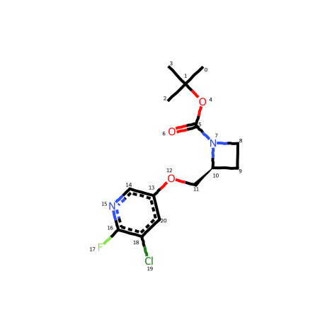 CC(C)(C)OC(=O)N1CC[C@H]1COc1cnc(F)c(Cl)c1